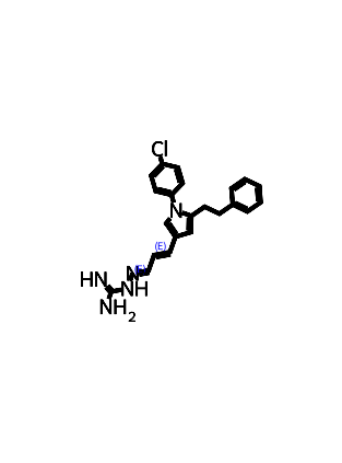 N=C(N)N/N=C/C=C/c1cc(CCc2ccccc2)n(-c2ccc(Cl)cc2)c1